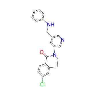 O=C1c2ccc(Cl)cc2CCN1c1cncc(CNc2ccccc2)c1